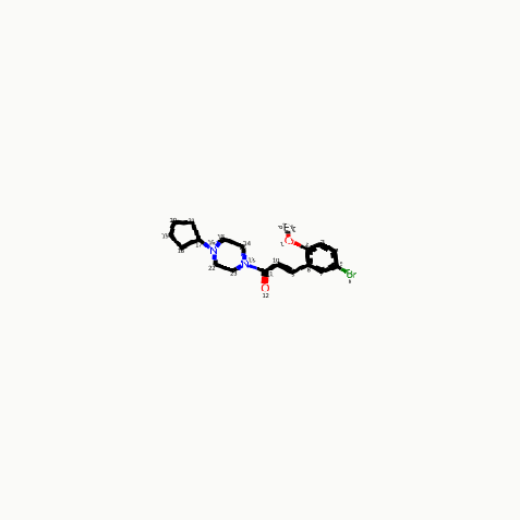 CCOc1ccc(Br)cc1/C=C/C(=O)N1CCN(C2CCCC2)CC1